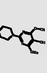 COc1nc(N2CCCCC2)nc(OC#N)c1O